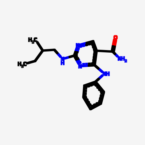 CCC(C)CNc1ncc(C(N)=O)c(Nc2ccccc2)n1